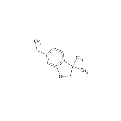 CCc1ccc2c(c1)OCC2(C)C